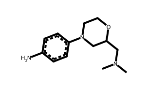 CN(C)CC1CN(c2ccc(N)cc2)CCO1